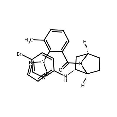 Cc1cccc(C(=O)N2[C@@H]3CC[C@H]2[C@H](Nc2ccc(Br)cn2)C3)c1-n1nccn1